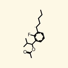 CCCC[CH]c1cccc(C(OC(C)=O)C(C)C)c1F